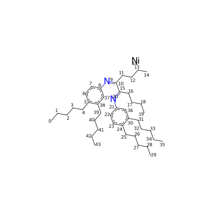 CCCCCc1ccc(N=C(CCCC)C(CCCC)=Nc2ccc(CCCCC)c(CCCCC)c2)cc1CCCCC.[Ni]